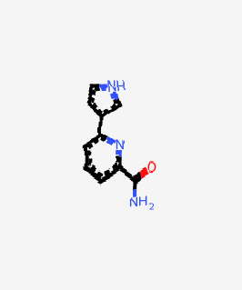 NC(=O)c1cccc(-c2cc[nH]c2)n1